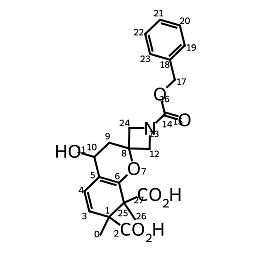 CC1(C(=O)O)C=CC2=C(OC3(CC2O)CN(C(=O)OCc2ccccc2)C3)C1(C)C(=O)O